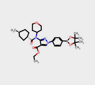 CCOC(=O)c1cn(-c2ccc(B3OC(C)(C)C(C)(C)O3)cc2)nc1N(C(=O)[C@H]1CC[C@H](C)CC1)C1CCOCC1